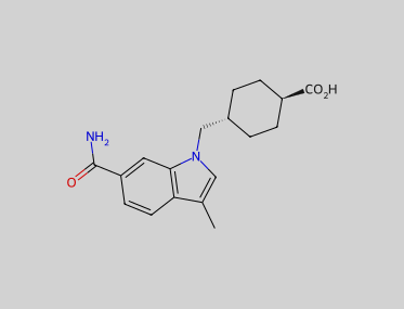 Cc1cn(C[C@H]2CC[C@H](C(=O)O)CC2)c2cc(C(N)=O)ccc12